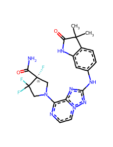 CC1(C)C(=O)Nc2cc(Nc3nc4c(N5CC(F)(F)[C@@](F)(C(N)=O)C5)nccn4n3)ccc21